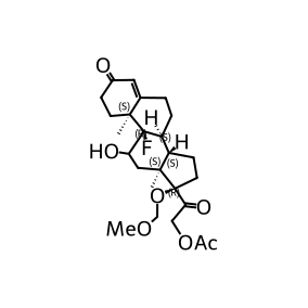 COCO[C@]1(C(=O)COC(C)=O)CC[C@H]2[C@@H]3CCC4=CC(=O)CC[C@]4(C)[C@@]3(F)C(O)C[C@@]21C